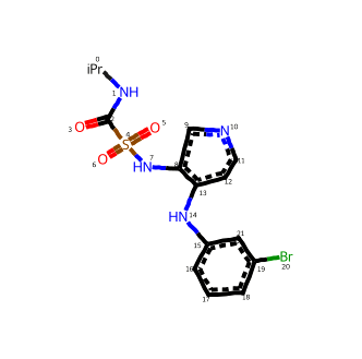 CC(C)NC(=O)S(=O)(=O)Nc1cnccc1Nc1cccc(Br)c1